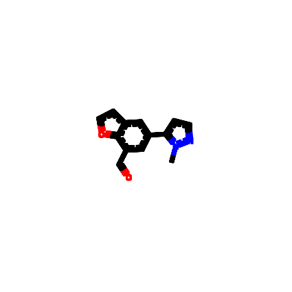 Cn1nccc1-c1cc(C=O)c2occc2c1